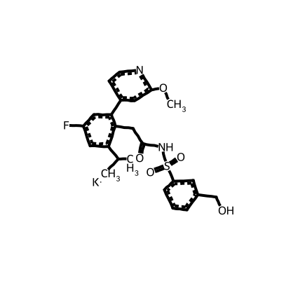 COc1cc(-c2cc(F)cc(C(C)C)c2CC(=O)NS(=O)(=O)c2cccc(CO)c2)ccn1.[K]